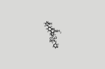 CC(C(=O)NCc1cccnc1)n1cc2c(N)nc3cc(-c4ccn[nH]4)ccc3c2n1